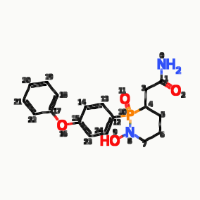 NC(=O)CC1CCCN(O)P1(=O)c1ccc(Oc2ccccc2)cc1